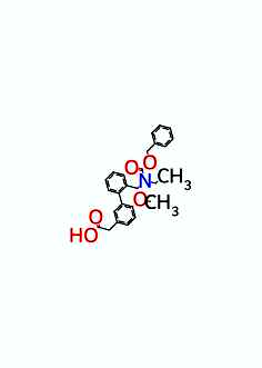 CCN(Cc1ccccc1-c1cc(CC(=O)O)ccc1OC)C(=O)OCc1ccccc1